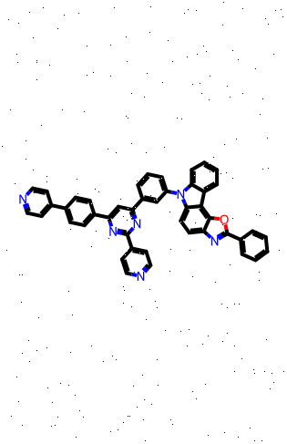 c1ccc(-c2nc3ccc4c(c5ccccc5n4-c4cccc(-c5cc(-c6ccc(-c7ccncc7)cc6)nc(-c6ccncc6)n5)c4)c3o2)cc1